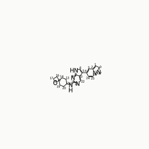 c1cc2cc(-c3c[nH]c4nc(NC5CCC6(CCO6)CC5)ncc34)ccn2n1